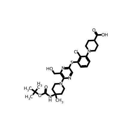 CC1(NC(=O)OC(C)(C)C)CCN(c2ncc(Sc3cccc(N4CCC(C(=O)O)CC4)c3Cl)nc2CO)CC1